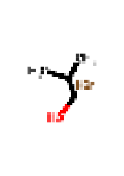 Br.CC(C)CO